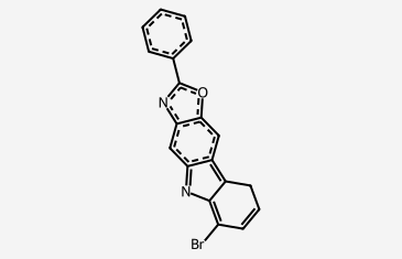 BrC1=C2N=c3cc4nc(-c5ccccc5)oc4cc3=C2CC=C1